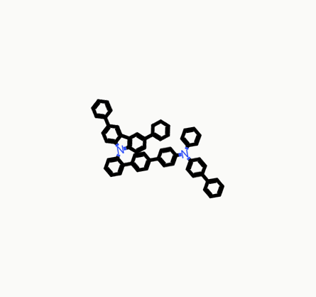 C1=CCCC(c2ccc3c(c2)c2cc(-c4ccccc4)ccc2n3-c2ccccc2-c2ccc(-c3ccc(N(c4ccccc4)c4ccc(-c5ccccc5)cc4)cc3)cc2)=C1